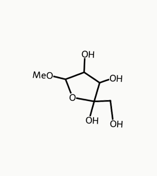 COC1OC(O)(CO)C(O)C1O